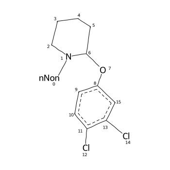 CCCCCCCCCN1CCCCC1Oc1ccc(Cl)c(Cl)c1